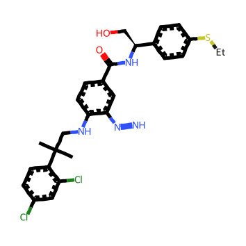 CCSc1ccc([C@H](CO)NC(=O)c2ccc(NCC(C)(C)c3ccc(Cl)cc3Cl)c(N=N)c2)cc1